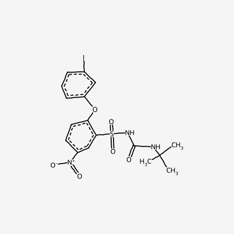 CC(C)(C)NC(=O)NS(=O)(=O)c1cc([N+](=O)[O-])ccc1Oc1cccc(I)c1